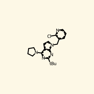 CC(C)(C)c1nc(N2CCCC2)c2ccn(Cc3cccnc3Cl)c2n1